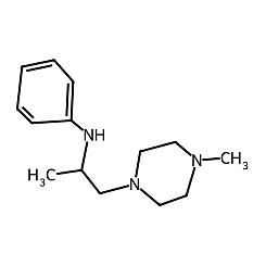 CC(CN1CCN(C)CC1)Nc1ccccc1